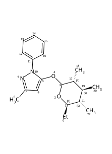 CC[C@H]1OC(Oc2cc(C)nn2-c2ccccc2)[C@H](C)[C@@H](C)[C@@H]1C